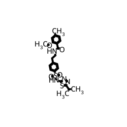 COc1cc(C)ccc1C(=O)NCCc1ccc(S(=O)(=O)Nc2nnc(C(C)C)s2)cc1